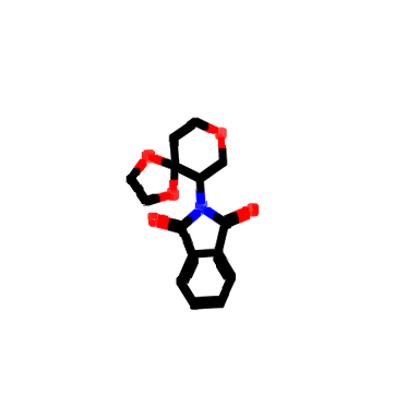 O=C1c2ccccc2C(=O)N1C1COCCC12OCCO2